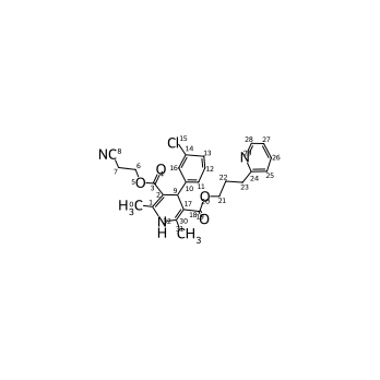 CC1=C(C(=O)OCCC#N)C(c2cccc(Cl)c2)C(C(=O)OCCCc2ccccn2)=C(C)N1